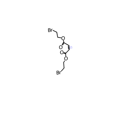 O=C(/C=C\C(=O)OCCBr)OCCBr